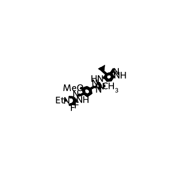 CCN1Cc2nc(-c3ccc(-c4nc(Nc5ccc6[nH]ncc6c5C5CC5)n(C)n4)cc3OC)[nH]c2C(F)(F)C1